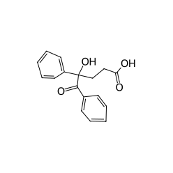 O=C(O)CCC(O)(C(=O)c1ccccc1)c1ccccc1